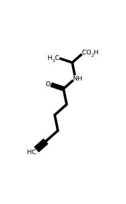 C#CCCCC(=O)NC(C)C(=O)O